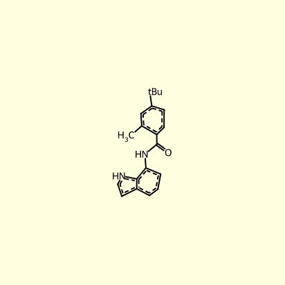 Cc1cc(C(C)(C)C)ccc1C(=O)Nc1cccc2cc[nH]c12